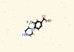 CCCC(=O)c1ccc(N2CCNCC2)c(C(F)(F)F)c1